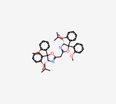 COc1ccccc1C1(c2ccccc2OC)OC(CC2=N[C@H](CC(C)C)C(c3ccccc3OC)(c3ccccc3OC)O2)=N[C@@H]1CC(C)C